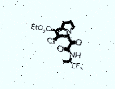 CCOC(=O)c1c(Cl)c(C(=O)C(=O)N[C@H](C)C(F)(F)F)n2c1CCC2